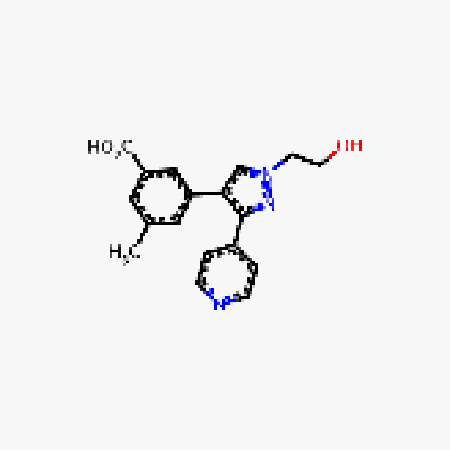 Cc1cc(C(=O)O)cc(-c2cn(CCO)nc2-c2ccncc2)c1